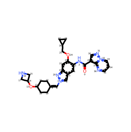 O=C(Nc1cc2cn(C=C3CCC(OC4CNC4)CC3)nc2cc1OCC1CC1)c1cnn2cccnc12